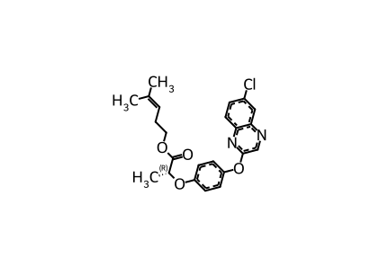 CC(C)=CCCOC(=O)[C@@H](C)Oc1ccc(Oc2cnc3cc(Cl)ccc3n2)cc1